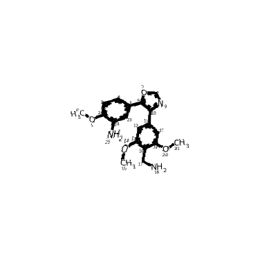 COc1ccc(-c2ocnc2-c2cc(OC)c(CN)c(OC)c2)cc1N